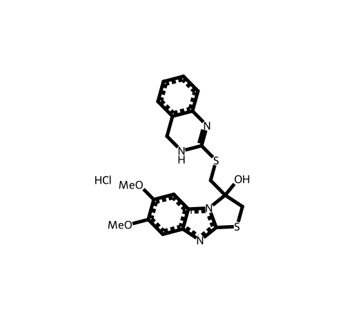 COc1cc2nc3n(c2cc1OC)C(O)(CSC1=Nc2ccccc2CN1)CS3.Cl